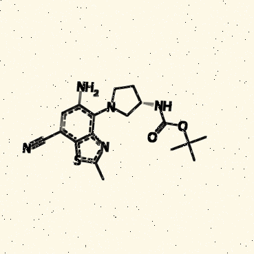 Cc1nc2c(N3CC[C@H](NC(=O)OC(C)(C)C)C3)c(N)cc(C#N)c2s1